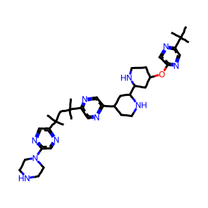 CC(C)(C)c1cnc(OC2CCNC(C3CC(c4cnc(C(C)(C)CC(C)(C)c5cnc(N6CCNCC6)cn5)cn4)CCN3)C2)cn1